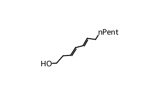 CCCCCCC=CC=CCCO